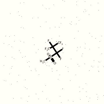 CS(=O)(=O)C(F)(F)C(F)(C(F)(F)F)C(F)(F)F